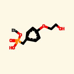 CCOP(=O)(O)Cc1ccc(OCCO)cc1